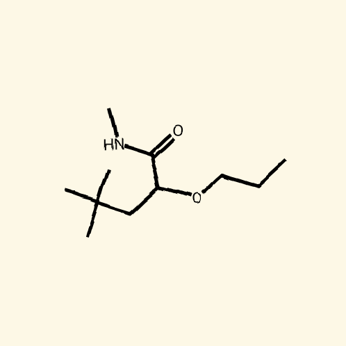 CCCOC(CC(C)(C)C)C(=O)NC